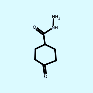 NNC(=O)C1CCC(=O)CC1